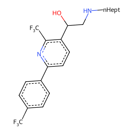 CCCCCCCNCC(O)c1ccc(-c2ccc(C(F)(F)F)cc2)nc1C(F)(F)F